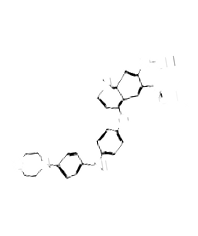 COc1cc2nccc(Oc3ccc(Nc4ccc(N5CCOCC5)cc4)cc3)c2cc1OC